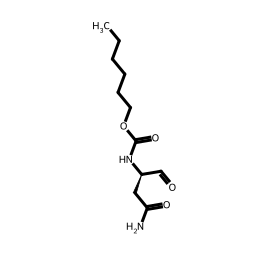 CCCCCCOC(=O)N[C@@H](C=O)CC(N)=O